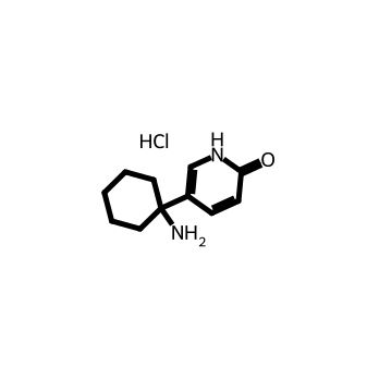 Cl.NC1(c2ccc(=O)[nH]c2)CCCCC1